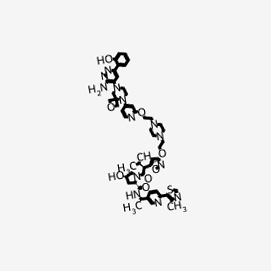 Cc1ncsc1-c1ccc([C@H](C)NC(=O)[C@@H]2C[C@@H](O)CN2C(=O)[C@H](c2cc(OCCN3CCN(CCOc4cc(N5CCN(c6cc(-c7ccccc7O)nnc6N)CC56COC6)ccn4)CC3)no2)C(C)C)cn1